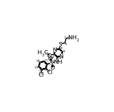 COc1nc(SCCN)cnc1NS(=O)(=O)c1cccc(Cl)c1Cl